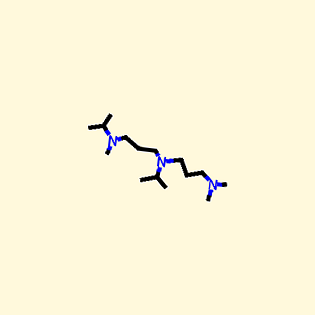 CC(C)N(C)CCCN(CCCN(C)C)C(C)C